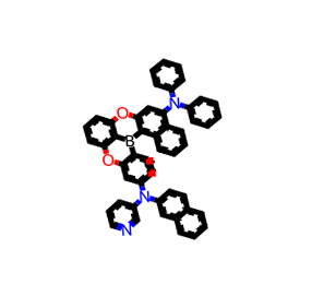 c1ccc(N(c2ccccc2)c2cc3c(c4ccccc24)B2c4c(cccc4Oc4cc(N(c5cccnc5)c5ccc6ccccc6c5)c5ccccc5c42)O3)cc1